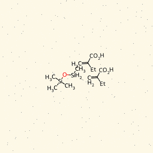 C=C(CC)C(=O)O.C=C(CC)C(=O)O.C[SiH2]O[Si](C)(C)C